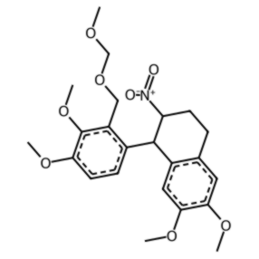 COCOCc1c(C2c3cc(OC)c(OC)cc3CCC2[N+](=O)[O-])ccc(OC)c1OC